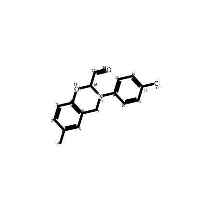 Cc1ccc2c(c1)CN(c1ccc(Cl)cc1)C(C=O)O2